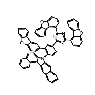 c1ccc2cc3c(cc2c1)c1c2ccccc2ccc1n3-c1ccc(-c2nc(-c3cccc4oc5ccccc5c34)nc(-c3cccc4oc5ccccc5c34)n2)cc1-c1ccc2oc3ccccc3c2c1